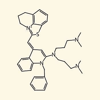 CN(C)CCCN(CCCN(C)C)C1=C/C(=C\c2sc3cccc4c3[n+]2CCC4)c2ccccc2N1Cc1ccccc1